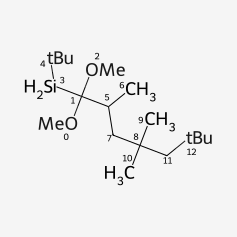 COC(OC)([SiH2]C(C)(C)C)C(C)CC(C)(C)CC(C)(C)C